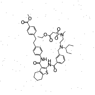 CCOC(=O)CS(=O)(=O)N(C)CCN(Cc1cccc(C(=O)Nc2sc3c(c2C(=O)Nc2ccc(CCc4ccc(C(=O)OC)cc4)cc2)CCCC3)c1)C(CC)CC